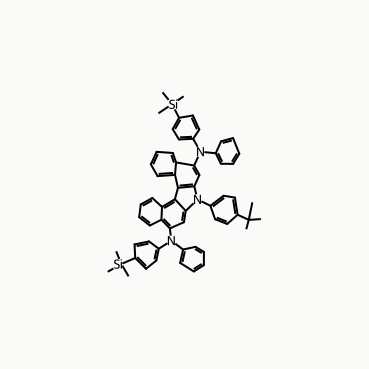 CC(C)(C)c1ccc(-n2c3cc(N(c4ccccc4)c4ccc([Si](C)(C)C)cc4)c4ccccc4c3c3c4ccccc4c(N(c4ccccc4)c4ccc([Si](C)(C)C)cc4)cc32)cc1